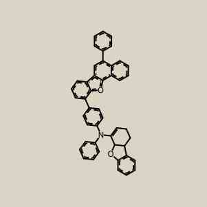 C1=C(N(c2ccccc2)c2ccc(-c3cccc4c3oc3c5ccccc5c(-c5ccccc5)cc43)cc2)C2Oc3ccccc3C2CC1